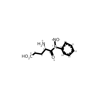 N[C@@H](CCC(=O)O)C(=O)N([N+]=O)c1ccccc1